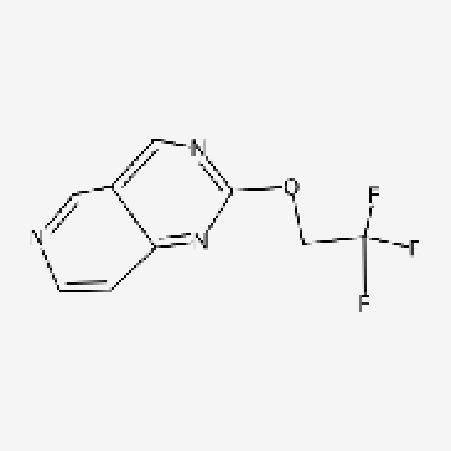 FC(F)(F)COc1ncc2cnccc2n1